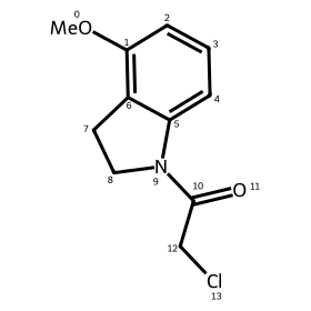 COc1cccc2c1CCN2C(=O)CCl